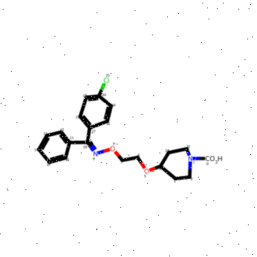 O=C(O)N1CCC(OCCON=C(c2ccccc2)c2ccc(Cl)cc2)CC1